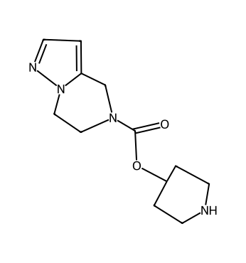 O=C(OC1CCNCC1)N1CCn2nccc2C1